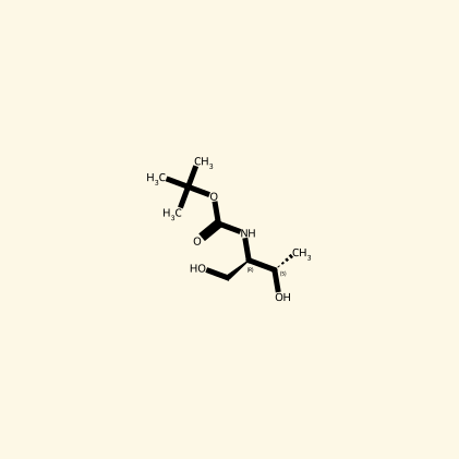 C[C@H](O)[C@@H](CO)NC(=O)OC(C)(C)C